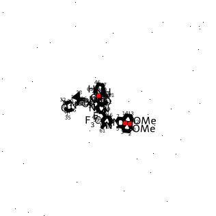 COc1ccc(CN(Cc2ccc(OC)cc2)c2cc(-c3nc4c5c(nc(OCC6(CN7C[C@@H](C)O[C@@H](C)C7)CC6)nc5c3F)N3C[C@H]5CC[C@@H]([C@H]3[C@H](C)O4)N5C(=O)OC(C)(C)C)c(C(F)(F)F)c(C)n2)cc1